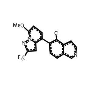 COc1ccc(-c2ccc3cnccc3c2Cl)c2cc(C(F)(F)F)nn12